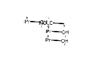 CC(=O)O.CC(C)O.CC(C)O.CC(C)O